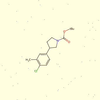 Cc1cc(C2CCN(C(=O)OC(C)(C)C)C2)ccc1Cl